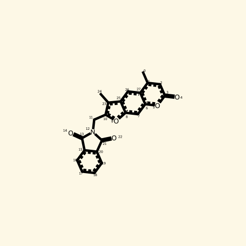 Cc1cc(=O)oc2cc3oc(CN4C(=O)c5ccccc5C4=O)c(C)c3cc12